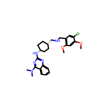 COc1cc(OC)c(CNC[C@H]2CC[C@@H](Nc3nc(N(C)C)c4ccccc4n3)CC2)cc1Br